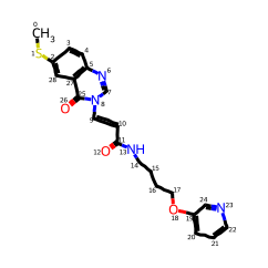 CSc1ccc2ncn(/C=C/C(=O)NCCCCOc3cccnc3)c(=O)c2c1